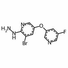 NNc1ncc(Oc2cncc(F)c2)cc1Br